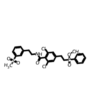 COP(=O)(CCc1cc(Cl)c(C(=O)NCCc2cccc(S(C)(=O)=O)c2)c(Cl)c1)c1ccccc1